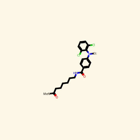 CCN(c1ccc(C(=O)NCCCCCCC(=O)NC)cc1)c1c(Cl)cccc1Cl